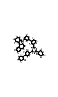 c1ccc(-c2ccc(-c3nc(-c4ccccc4)nc(-c4cccc(-c5cccc(-n6c7ccccc7c7c8ccccc8ccc76)c5)c4)n3)cc2)cc1